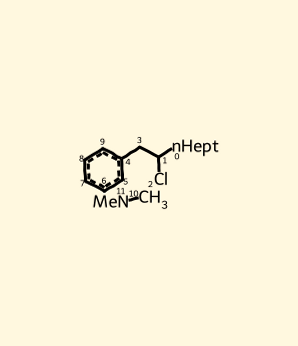 CCCCCCCC(Cl)Cc1ccccc1.CNC